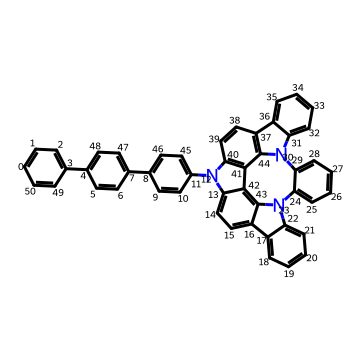 c1ccc(-c2ccc(-c3ccc(-n4c5ccc6c7ccccc7n7c8ccccc8n8c9ccccc9c9ccc4c(c5c67)c98)cc3)cc2)cc1